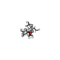 CCC[Si](C[Si](CCC)(OC(C)C)OC(C)C)(OC(C)C)OC(C)C